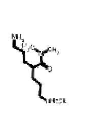 CCCCCCCCCCC(CCCN)C(=O)N(C)C